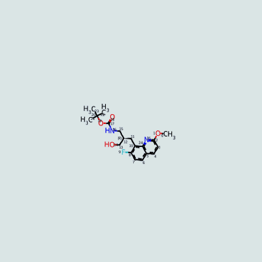 COc1ccc2ccc(F)c(C[C@@H](CO)CNC(=O)OC(C)(C)C)c2n1